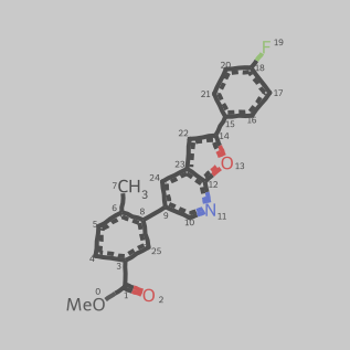 COC(=O)c1ccc(C)c(-c2cnc3oc(-c4ccc(F)cc4)cc3c2)c1